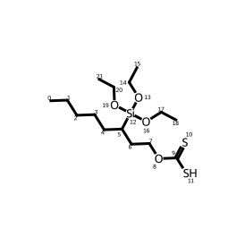 CCCCCC(CCOC(=S)S)[Si](OCC)(OCC)OCC